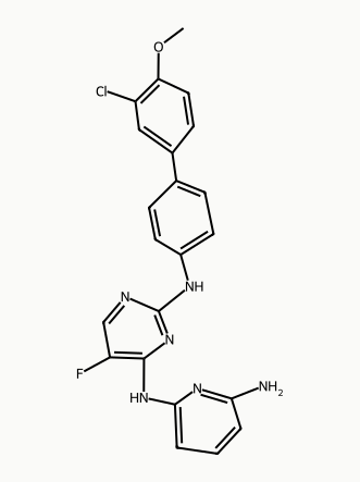 COc1ccc(-c2ccc(Nc3ncc(F)c(Nc4cccc(N)n4)n3)cc2)cc1Cl